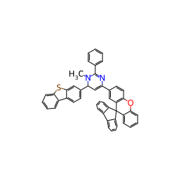 CN1C(c2ccccc2)=NC(c2ccc3c(c2)C2(c4ccccc4O3)c3ccccc3-c3ccccc32)=CC1c1ccc2c(c1)sc1ccccc12